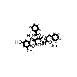 Cc1cc(O)ccc1OC(C)C(=O)[C@H]([C@@H](O)C[C@H](Cc1ccccc1)C(=O)OC(C)(C)C)C(N)(N)c1ccccc1